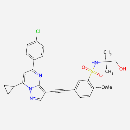 COc1ccc(C#Cc2cnn3c(C4CC4)cc(-c4ccc(Cl)cc4)nc23)cc1S(=O)(=O)NC(C)(C)CO